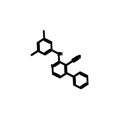 Cc1cc(C)cc(Nc2nccc(-c3ccccc3)c2C#N)c1